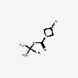 CC(C)(C)OC(=O)N1C[CH]([Zn])C1